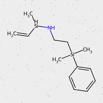 C=C[SiH](C)NCC[Si](C)(C)c1ccccc1